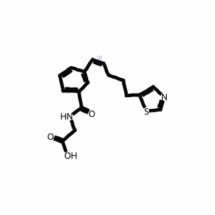 O=C(O)CNC(=O)c1cccc(/C=C\CCCc2cncs2)c1